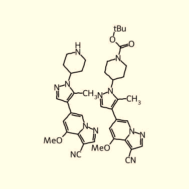 COc1cc(-c2cnn(C3CCN(C(=O)OC(C)(C)C)CC3)c2C)cn2ncc(C#N)c12.COc1cc(-c2cnn(C3CCNCC3)c2C)cn2ncc(C#N)c12